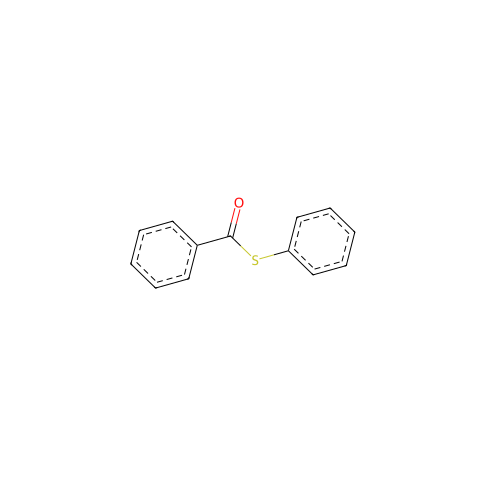 O=C(Sc1ccccc1)c1ccccc1